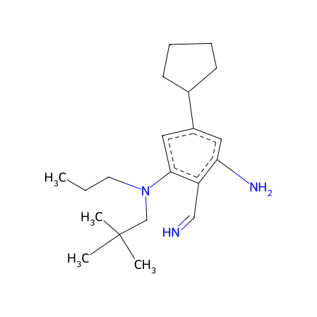 CCCN(CC(C)(C)C)c1cc(C2CCCC2)cc(N)c1C=N